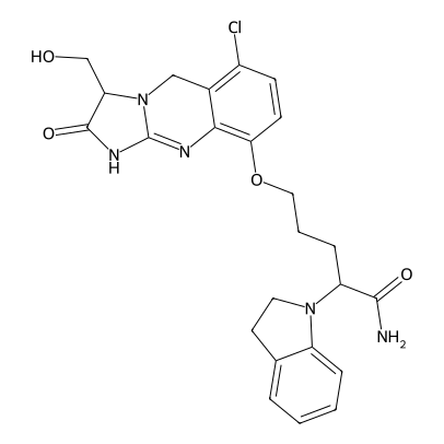 NC(=O)C(CCCOc1ccc(Cl)c2c1N=C1NC(=O)C(CO)N1C2)N1CCc2ccccc21